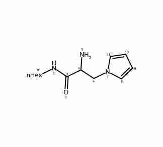 CCCCCCNC(=O)C(N)Cn1cccc1